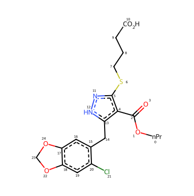 CCCOC(=O)c1c(SCCCC(=O)O)n[nH]c1Cc1cc2c(cc1Cl)OCO2